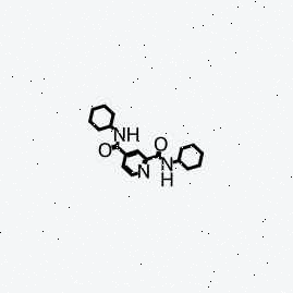 O=C(NC1CCCCC1)c1ccnc(C(=O)NC2CCCCC2)c1